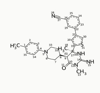 Cc1ccc(N2CCC([C@@H]3C(=O)N(C)C(=N)N[C@]3(C)c3cc(-c4cccc(C#N)c4)cs3)CC2)cc1